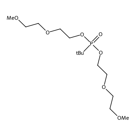 COCCOCCOP(=O)(OCCOCCOC)C(C)(C)C